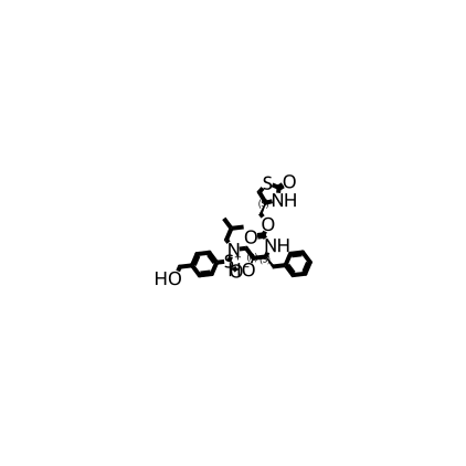 CC(C)CN(C[C@@H](O)[C@H](Cc1ccccc1)NC(=O)OC[C@H]1CSC(=O)N1)[S+]([O-])c1ccc(CO)cc1